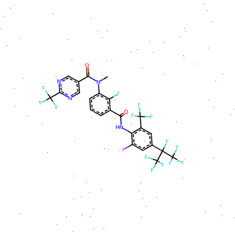 CN(C(=O)c1cnc(C(F)(F)F)nc1)c1cccc(C(=O)Nc2c(I)cc(C(F)(C(F)(F)F)C(F)(F)F)cc2C(F)(F)F)c1F